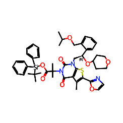 Cc1c(-c2ncco2)sc2c1c(=O)n(C(C)(C)C(=O)O[Si](c1ccccc1)(c1ccccc1)C(C)(C)C)c(=O)n2C[C@H](OC1CCOCC1)c1ccccc1COC(C)C